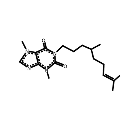 CC(C)=CCCC(C)CCCn1c(=O)c2c(ncn2C)n(C)c1=O